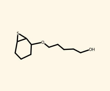 OCCCCCOC1CCCC2SC12